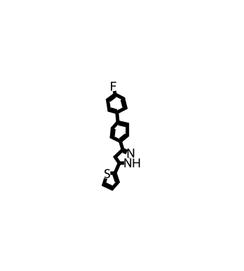 Fc1ccc(-c2ccc(C3=NNC(c4cccs4)C3)cc2)cc1